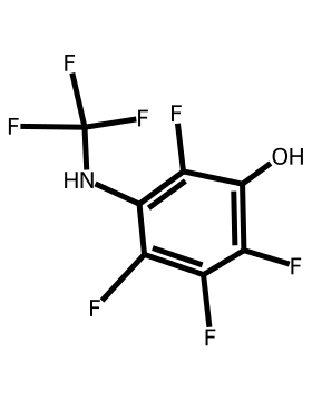 Oc1c(F)c(F)c(F)c(NC(F)(F)F)c1F